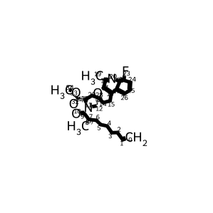 C=CCCCCC[C@H](C)C(=O)N1C[C@]2(CCc3c(c(C)nc4c(F)cccc34)O2)C[C@H]1C(=O)OC